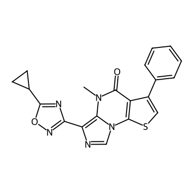 Cn1c(=O)c2c(-c3ccccc3)csc2n2cnc(-c3noc(C4CC4)n3)c12